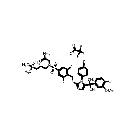 COc1cc(C(C)(C)c2cnc(SCc3c(F)cc(S(=O)(=O)N(CCC[N+](C)(C)C)CC(N)=O)cc3F)n2-c2ccc(F)cc2)ccc1Cl.O=C([O-])C(F)(F)F